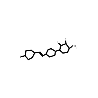 CC1CCC(C2CCC(C=CC3CCC(I)CC3)CC2)C(F)C1F